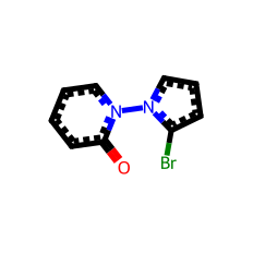 O=c1ccccn1-n1cccc1Br